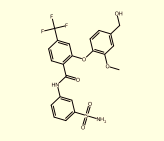 COc1cc(CO)ccc1Oc1cc(C(F)(F)F)ccc1C(=O)Nc1cccc(S(N)(=O)=O)c1